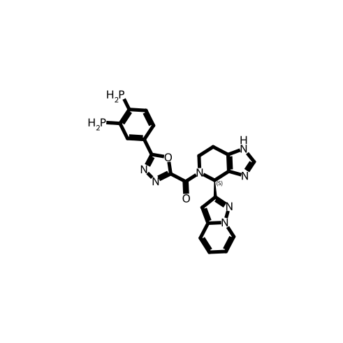 O=C(c1nnc(-c2ccc(P)c(P)c2)o1)N1CCc2[nH]cnc2[C@H]1c1cc2ccccn2n1